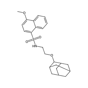 COc1ccc(S(=O)(=O)NCCOC2C3CC4CC(C3)CC2C4)c2ccccc12